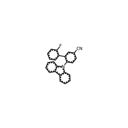 N#Cc1ccc(-n2c3ccccc3c3ccccc32)c(-c2ccccc2F)c1